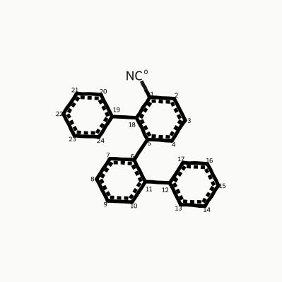 N#Cc1cccc(-c2ccccc2-c2ccccc2)c1-c1ccccc1